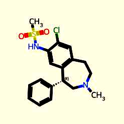 CN1CCc2cc(Cl)c(NS(C)(=O)=O)cc2[C@@H](c2ccccc2)C1